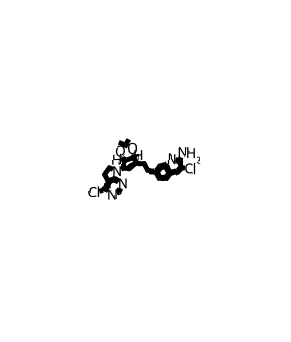 CC1(C)O[C@@H]2C(CCc3ccc4cc(Cl)c(N)nc4c3)=CC(N3CCc4c(Cl)ncnc43)[C@@H]2O1